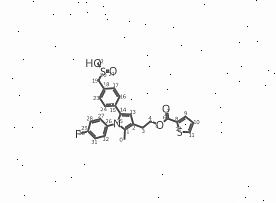 Cc1c(CCOC(=O)c2cccs2)cc(-c2ccc(CS(=O)O)cc2)n1-c1ccc(F)cc1